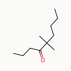 CCCCC(C)(C)C(=O)CCC